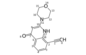 C#Cc1cccc2c(=O)cc(N3CCOCC3)[nH]c12